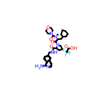 CN(C(=O)N1CCOCC1)C(CC1CCCCC1)C(=O)N1CCCC1C(=O)NCc1ccc2c(N)nccc2c1.O=C(O)C(F)(F)F